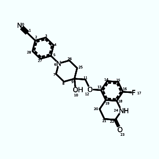 N#Cc1ccc(N2CCC(O)(COc3ccc(F)c4c3CCC(=O)N4)CC2)cc1